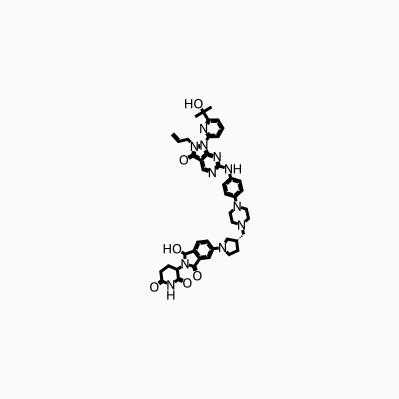 C=CCn1c(=O)c2cnc(Nc3ccc(N4CCN(C[C@@H]5CCN(c6ccc7c(c6)C(=O)N(C6CCC(=O)NC6=O)C7O)C5)CC4)cc3)nc2n1-c1cccc(C(C)(C)O)n1